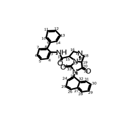 O=C(Nc1ccccc1-c1ccccc1)C1CN2CC3C(=O)N(c4cccc5ccccc45)C(=O)[N+]13C2